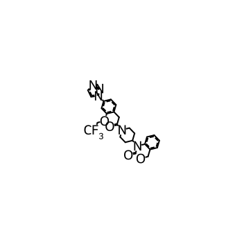 O=C(Cc1ccc(-n2ccnn2)cc1OCC(F)(F)F)N1CCC(N2C(=O)OCc3ccccc32)CC1